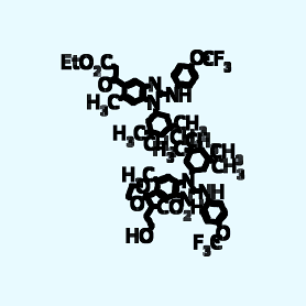 CCOC(=O)CC(=O)c1cc2nc(Nc3ccc(OC(F)(F)F)cc3)n(C3CC(C)(C)CC(C)(C)C3)c2cc1C.Cc1cc2c(cc1C1(C(CCO)C(=O)O)OCCO1)nc(Nc1ccc(OC(F)(F)F)cc1)n2C1CC(C)(C)CC(C)(C)C1